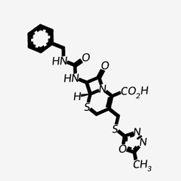 Cc1nnc(SCC2=C(C(=O)O)N3C(=O)C(NC(=O)NCc4ccccc4)[C@H]3SC2)o1